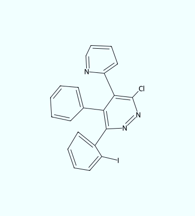 Clc1nnc(-c2ccccc2I)c(-c2ccccc2)c1-c1ccccn1